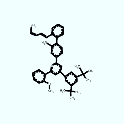 COc1ccccc1-c1cc(-c2cc(C(C)(C)C)cc(C(C)(C)C)c2)cc(-c2ccc(-c3ccccc3C=C/C=C\N)c(N)c2)n1